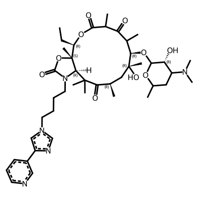 CC[C@H]1OC(=O)C(C)C(=O)C(C)[C@@H](OC2OC(C)CC(N(C)C)[C@H]2O)[C@](C)(O)C[C@@H](C)C(=O)C(C)(C)[C@H]2N(CCCCn3cnc(-c4cccnc4)c3)C(=O)O[C@@]21C